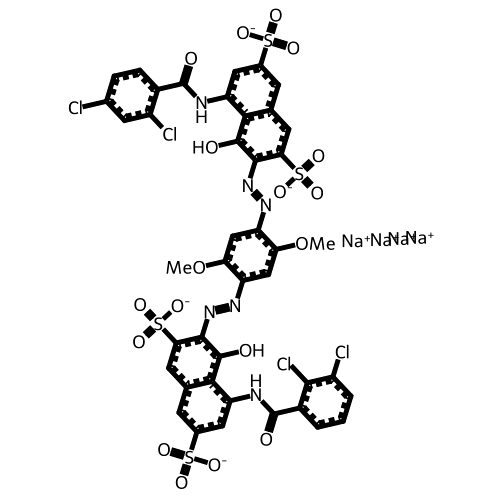 COc1cc(N=Nc2c(S(=O)(=O)[O-])cc3cc(S(=O)(=O)[O-])cc(NC(=O)c4cccc(Cl)c4Cl)c3c2O)c(OC)cc1N=Nc1c(S(=O)(=O)[O-])cc2cc(S(=O)(=O)[O-])cc(NC(=O)c3ccc(Cl)cc3Cl)c2c1O.[Na+].[Na+].[Na+].[Na+]